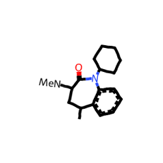 CNC1CC(C)c2ccccc2N(C2CCCCC2)C1=O